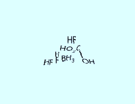 B.F.F.F.O=C(O)O